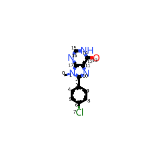 Cn1c(-c2ccc(Cl)cc2)nc2c(=O)[nH]cnc21